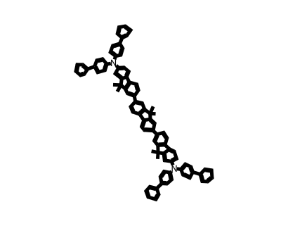 CC1(C)c2cc(-c3ccc4c(c3)C(C)(C)c3cc(N(c5ccc(-c6ccccc6)cc5)c5ccc(-c6ccccc6)cc5)ccc3-4)ccc2-c2ccc(-c3ccc4c(c3)C(C)(C)c3cc(N(c5ccc(-c6ccccc6)cc5)c5ccc(-c6ccccc6)cc5)ccc3-4)cc21